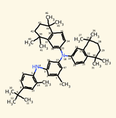 Cc1cc(Nc2ccc(C(C)(C)C)cc2C)cc(N(c2ccc3c(c2)C(C)(C)CCC3(C)C)c2ccc3c(c2)C(C)(C)CCC3(C)C)c1